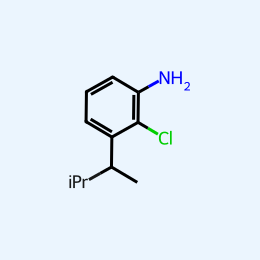 CC(C)C(C)c1cccc(N)c1Cl